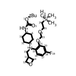 CC(C)(C)OC(=O)N[C@H]1CC[C@H](N(CC2COC2)c2ccc(F)cc2OCOCC[Si](C)(C)C)CC1